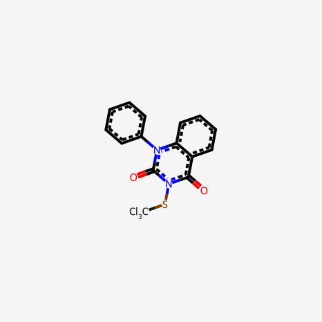 O=c1c2ccccc2n(-c2ccccc2)c(=O)n1SC(Cl)(Cl)Cl